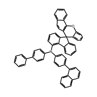 c1ccc(-c2ccc(N(c3ccc(-c4cccc5ccccc45)cc3)c3cccc4c3-c3ccccc3C43c4ccccc4Oc4c3ccc3ccccc43)cc2)cc1